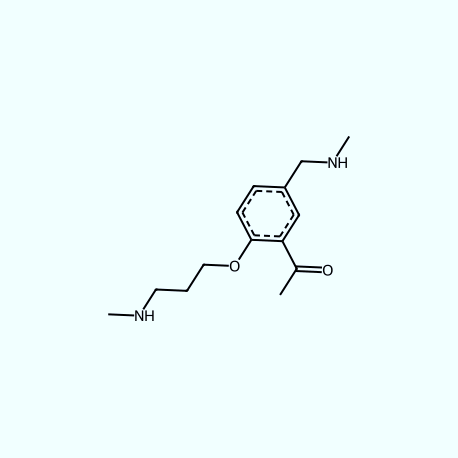 CNCCCOc1ccc(CNC)cc1C(C)=O